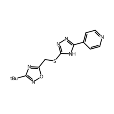 CC(C)(C)c1noc(CSc2nnc(-c3ccncc3)[nH]2)n1